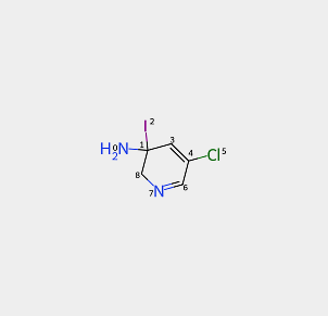 NC1(I)C=C(Cl)C=NC1